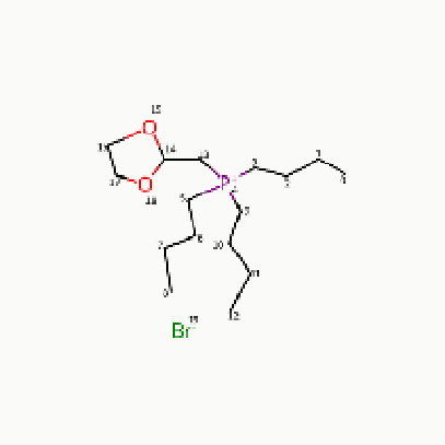 CCCC[P+](CCCC)(CCCC)CC1OCCO1.[Br-]